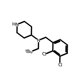 CC(C)(C)CN(Cc1cccc(Cl)c1Cl)C1CCNCC1